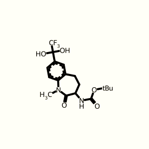 CN1C(=O)C(NC(=O)OC(C)(C)C)CCc2cc(C(O)(O)C(F)(F)F)ccc21